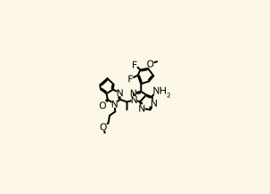 COCCCn1c(C(C)n2nc(-c3ccc(OC)c(F)c3F)c3c(N)ncnc32)nc2ccccc2c1=O